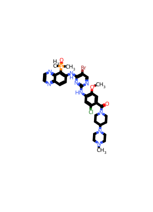 COc1cc(C(=O)N2CCC(N3CCN(C)CC3)CC2)c(Cl)cc1Nc1ncc(Br)c(Nc2ccc3nccnc3c2P(C)(C)=O)n1